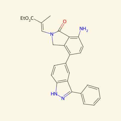 CCOC(=O)/C(C)=C/N1Cc2c(-c3ccc4[nH]nc(-c5ccccc5)c4c3)ccc(N)c2C1=O